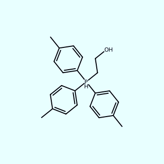 Cc1ccc([PH](CCO)(c2ccc(C)cc2)c2ccc(C)cc2)cc1